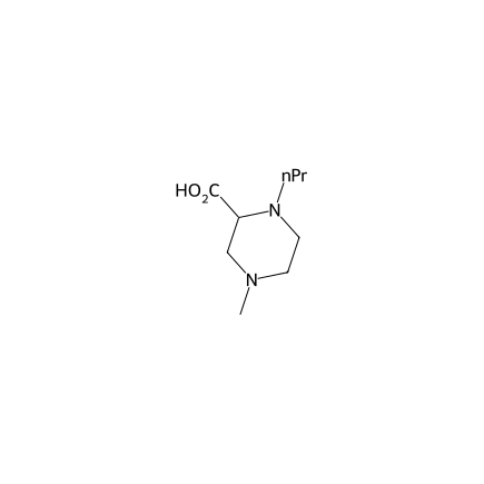 CCCN1CCN(C)CC1C(=O)O